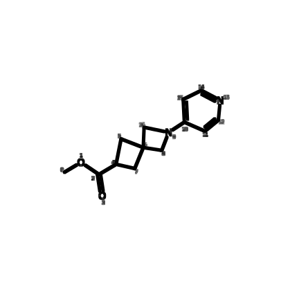 COC(=O)C1CC2(C1)CN(c1ccncc1)C2